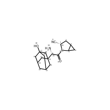 N#C[C@@H]1CC2CC2N1C(=O)[C@@H](N)C12CC3CC(CC(O)(C3)C1)C2